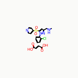 CNCc1cc(S(=O)(=O)c2ccncc2)n(-c2ccccc2Cl)n1.O=C(O)C=CC(=O)O